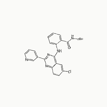 CCCCNC(=O)c1ccccc1Nc1nc(-c2cccnc2)nc2ccc(Cl)cc12